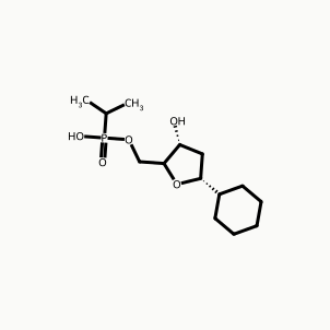 CC(C)P(=O)(O)OCC1O[C@@H](C2CCCCC2)C[C@H]1O